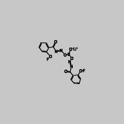 O=C(N=NOB([O-])ON=NC(=O)c1ccccc1OF)c1ccccc1OF.[Li+]